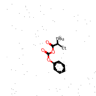 CCCCC(CC)C(=O)OC(=O)Oc1ccccc1